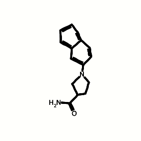 NC(=O)C1CCN(c2ccc3ccccc3c2)C1